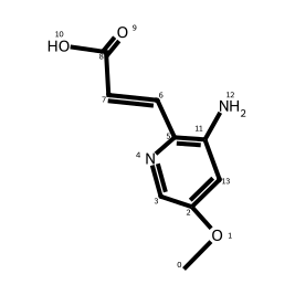 COc1cnc(C=CC(=O)O)c(N)c1